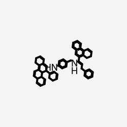 C1=CC2C=CC3=C4CCC=CC4=CC(C4=C(Nc5ccc(CN/C(=C\Cc6ccccc6)c6cc7ccccc7c7c6CCC=C7)cc5)C=CCC4)C3C2C=C1